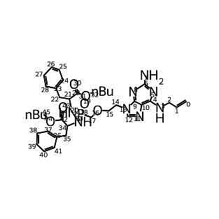 C=CCNc1nc(N)nc2c1ncn2CCOCP(=O)(NC(Cc1ccccc1)C(=O)OCCCC)NC(Cc1ccccc1)C(=O)OCCCC